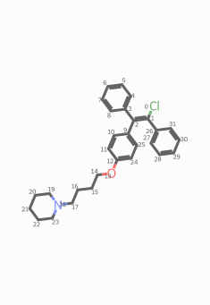 ClC(=C(c1ccccc1)c1ccc(OCCCCN2CCCCC2)cc1)c1ccccc1